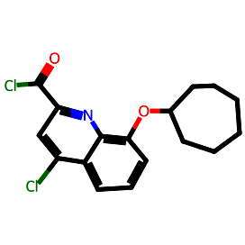 O=C(Cl)c1cc(Cl)c2cccc(OC3CCCCCC3)c2n1